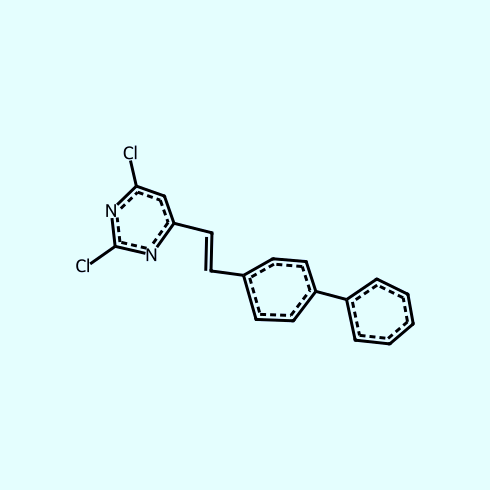 Clc1cc(/C=C/c2ccc(-c3ccccc3)cc2)nc(Cl)n1